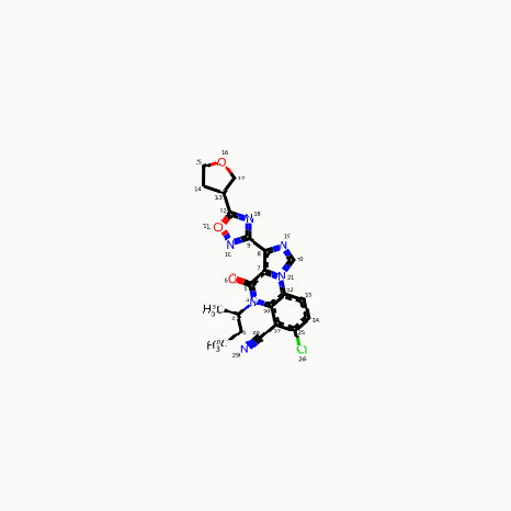 CCC(C)n1c(=O)c2c(-c3noc(C4CCOC4)n3)ncn2c2ccc(Cl)c(C#N)c21